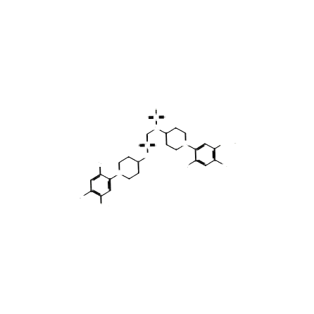 COc1cc(N2CCC(NS(=O)(=O)CN(C3CCN(c4cc(OC)c(Br)cc4[N+](=O)[O-])CC3)S(C)(=O)=O)CC2)c([N+](=O)[O-])cc1Br